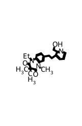 CCN1C(=O)C(C)(C)C(=O)N(C)c2cc(CCc3cccnc3CO)ccc21